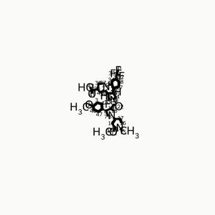 COc1ccc([C@@H]2CN(C3=CC(OC)N(C)C=C3)C[C@@]2(F)C(=O)N2C[C@@H]3c4ccc(C(F)(F)F)cc4N4CCC(C(=O)O)CC4[C@H]3C2)cc1